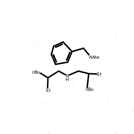 CCCCC(CC)CNCC(CC)CCCC.CNCc1ccccc1